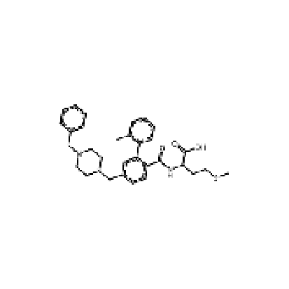 CSCCC(NC(=O)c1ccc(CN2CCN(Cc3ccccc3)CC2)cc1-c1ccccc1C)C(=O)O